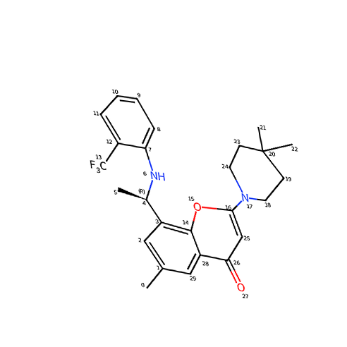 Cc1cc([C@@H](C)Nc2ccccc2C(F)(F)F)c2oc(N3CCC(C)(C)CC3)cc(=O)c2c1